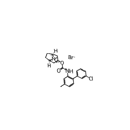 Cc1ccc(-c2cccc(Cl)c2)c(NC(=O)O[C@H]2C[C@H]3CC[C@@H](C2)[N+]3(C)C)c1.[Br-]